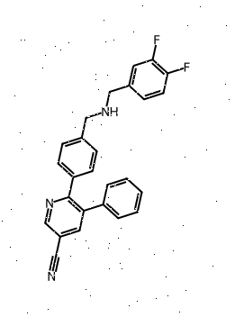 N#Cc1cnc(-c2ccc(CNCc3ccc(F)c(F)c3)cc2)c(-c2ccccc2)c1